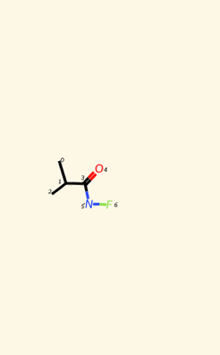 CC(C)C(=O)[N]F